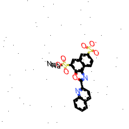 O=S(=O)([O-])c1ccc2c(c1)cc(S(=O)(=O)[O-])c1oc(-c3ccc4ccccc4n3)nc12.[Na+].[Na+]